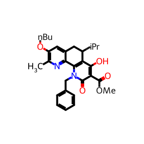 CCCCOc1cc2c(nc1C)-c1c(c(O)c(C(=O)OC)c(=O)n1Cc1ccccc1)C(C(C)C)C2